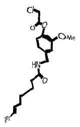 COc1cc(CNC(=O)CCCC/C=C/C(C)C)ccc1OC(=O)CCl